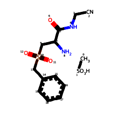 CS(=O)(=O)O.N#CCNC(=O)C(N)CS(=O)(=O)Cc1ccccc1